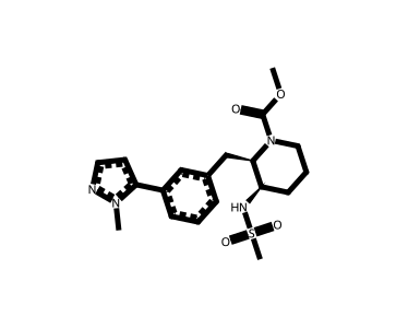 COC(=O)N1CCC[C@@H](NS(C)(=O)=O)[C@H]1Cc1cccc(-c2ccnn2C)c1